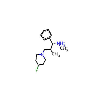 [CH2-][NH2+][C@@H](c1ccccc1)[C@@H](C)CN1CCC(F)CC1